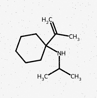 C=C(C)C1(NC(C)C)CCCCC1